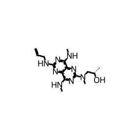 C=CCNc1nc(NC)c2nc(N(C)C[C@H](C)O)nc(NC)c2n1